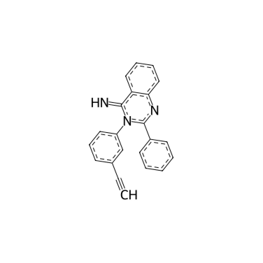 C#Cc1cccc(-n2c(-c3ccccc3)nc3ccccc3c2=N)c1